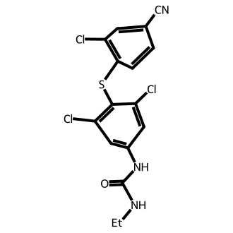 CCNC(=O)Nc1cc(Cl)c(Sc2ccc(C#N)cc2Cl)c(Cl)c1